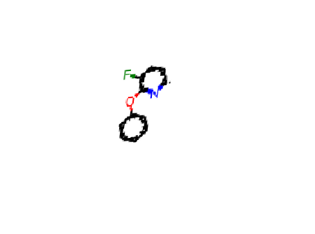 Fc1cc[c]nc1Oc1ccccc1